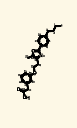 CCCCc1ccc(-c2nc(CCOc3cccc(CC(=O)O)c3)c(C)o2)cc1